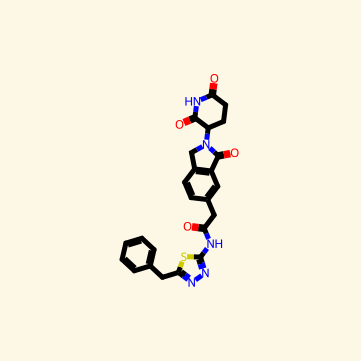 O=C1CCC(N2Cc3ccc(CC(=O)Nc4nnc(Cc5ccccc5)s4)cc3C2=O)C(=O)N1